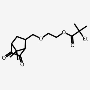 CCC(C)(C)C(=O)OCCOCC1CC2C(=O)C(=O)C1C2(C)C